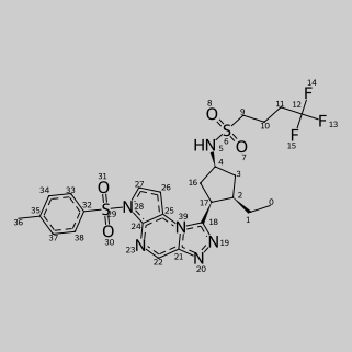 CC[C@@H]1C[C@H](NS(=O)(=O)CCCC(F)(F)F)C[C@@H]1c1nnc2cnc3c(ccn3S(=O)(=O)c3ccc(C)cc3)n12